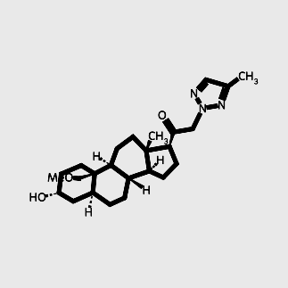 COC[C@]12CC[C@@H](O)C[C@@H]1CC[C@H]1[C@@H]3CC[C@H](C(=O)Cn4ncc(C)n4)[C@@]3(C)CC[C@@H]12